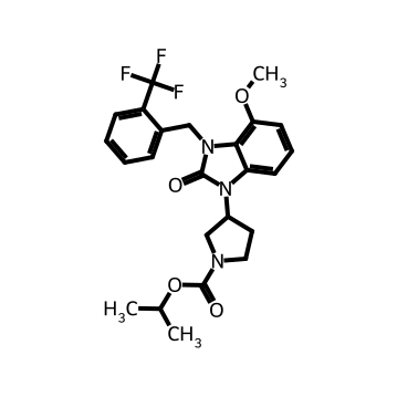 COc1cccc2c1n(Cc1ccccc1C(F)(F)F)c(=O)n2C1CCN(C(=O)OC(C)C)C1